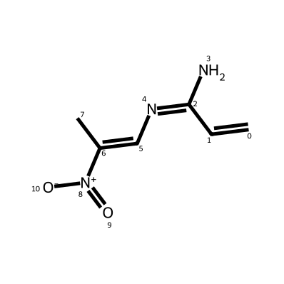 C=C/C(N)=N\C=C(/C)[N+](=O)[O-]